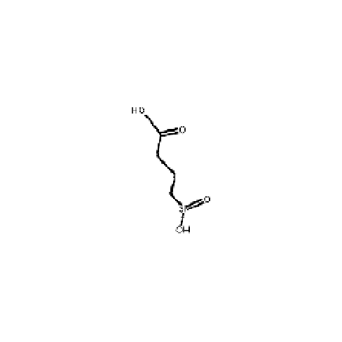 O=C(O)CCC[Si](=O)O